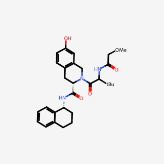 COCC(=O)NC(C(=O)N1Cc2cc(O)ccc2C[C@H]1C(=O)N[C@@H]1CCCc2ccccc21)C(C)(C)C